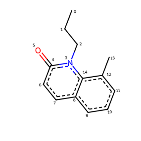 CCCn1c(=O)ccc2cccc(C)c21